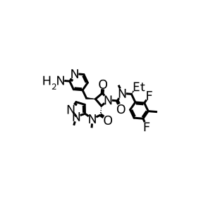 CC[C@H](c1ccc(F)c(C)c1F)N(C)C(=O)N1C(=O)[C@H](Cc2ccnc(N)c2)[C@H]1C(=O)N(C)c1ccnn1C